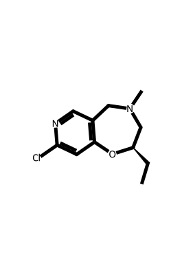 CC[C@@H]1CN(C)Cc2cnc(Cl)cc2O1